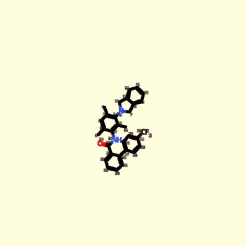 Cc1cc(C)c(N2Cc3ccccc3C2)c(C)c1NC(=O)c1ccccc1-c1ccc(C(F)(F)F)cc1